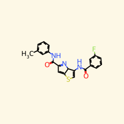 Cc1cccc(NC(=O)C2=NC3C(NC(=O)c4cccc(F)c4)=CSC3=C2)c1